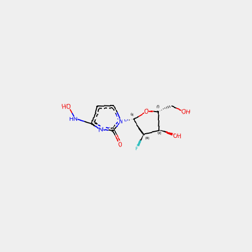 O=c1nc(NO)ccn1[C@@H]1O[C@H](CO)[C@@H](O)[C@H]1F